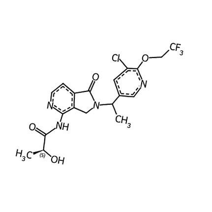 CC(c1cnc(OCC(F)(F)F)c(Cl)c1)N1Cc2c(ccnc2NC(=O)[C@H](C)O)C1=O